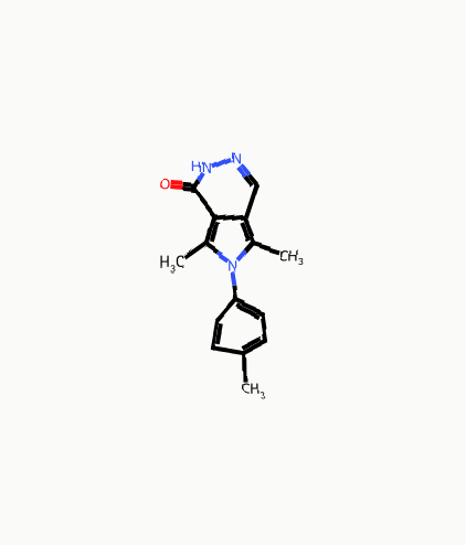 Cc1ccc(-n2c(C)c3cn[nH]c(=O)c3c2C)cc1